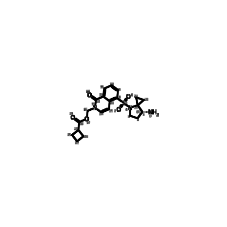 N[C@@H]1CCN(S(=O)(=O)c2cccc3c(=O)n(COC(=O)C4CCC4)ccc23)C12CC2